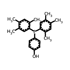 Cc1cc(C)c(P(c2ccc(O)cc2)c2cc(C)c(C)cc2C)cc1C